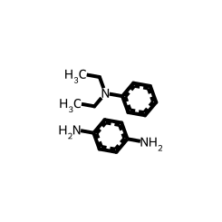 CCN(CC)c1ccccc1.Nc1ccc(N)cc1